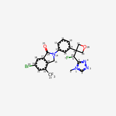 Cn1cnnc1[C@@H](F)C1(c2cccc(N3Cc4c(cc(Br)cc4C(F)(F)F)C3=O)c2)COC1